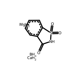 B.O=C1NS(=O)(=O)c2ccccc21.[CaH2].[MgH2]